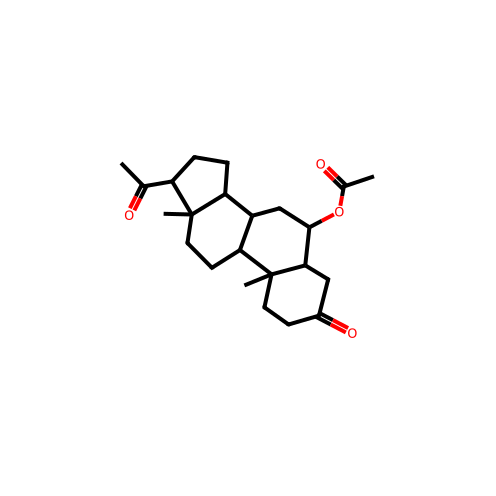 CC(=O)OC1CC2C3CCC(C(C)=O)C3(C)CCC2C2(C)CCC(=O)CC12